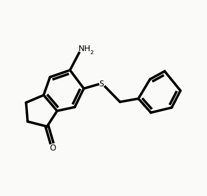 Nc1cc2c(cc1SCc1ccccc1)C(=O)CC2